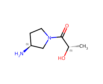 C[C@H](O)C(=O)N1CC[C@H](N)C1